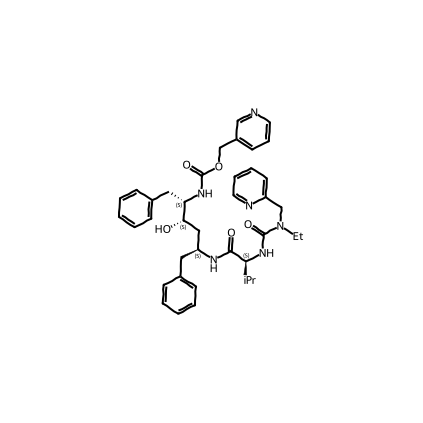 CCN(Cc1ccccn1)C(=O)N[C@H](C(=O)N[C@@H](Cc1ccccc1)C[C@H](O)[C@H](Cc1ccccc1)NC(=O)OCc1cccnc1)C(C)C